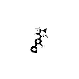 C=C(C(=O)[C@H](C)c1ccc(-c2ccccc2)c(S)c1)C1CC1